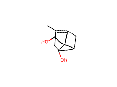 CC1=C2CC(CC1)C2(CO)CO